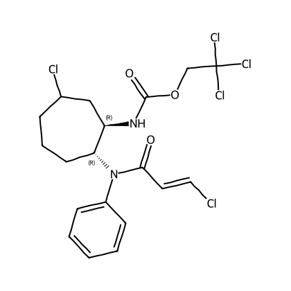 O=C(N[C@@H]1CC(Cl)CCC[C@H]1N(C(=O)C=CCl)c1ccccc1)OCC(Cl)(Cl)Cl